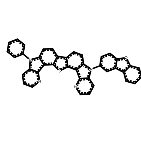 c1ccc(-n2c3cccnc3c3c4sc5c(ccc6c5c5ncccc5n6-c5ccc6oc7ccccc7c6c5)c4ccc32)cc1